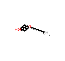 C=CCCCCCCCCCOc1cc2ccc3cc(O)cc4ccc(c1)c2c34